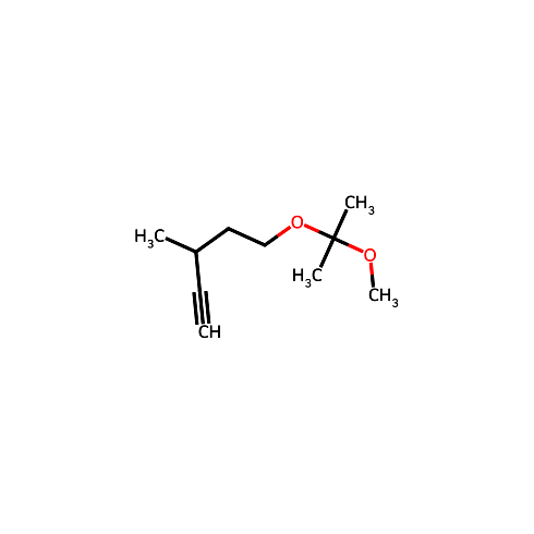 C#CC(C)CCOC(C)(C)OC